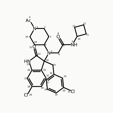 CC(=O)N1CCC(N(CC(=O)NC2CCC2)C2(Cc3cccc(Cl)c3)C(=O)Nc3cc(Cl)ccc32)CC1